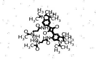 CC(=O)N(O)CCC(=O)Nc1cc2c(cc1C1=C([O-])/C(=c3/cc4c(cc3NC(=O)CCN(O)C(C)=O)=[N+](C(C)C)C(C)C4(C)C)C1=O)C(C)(C)C(C)N2C(C)C